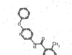 Cc1ccccc1C(=O)Nc1ccc(Oc2ccccc2)nc1